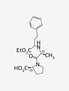 CCOC(=O)C(CCc1ccccc1)N[C@@H](C)C(=O)N1CCC[C@H]1C(=O)O